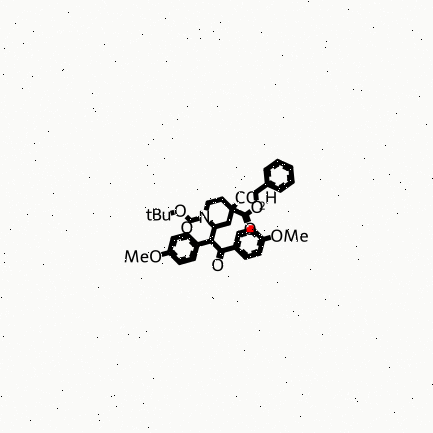 COc1ccc(C(=O)C(c2ccc(OC)cc2)C2CC(C(=O)O)(C(=O)OCc3ccccc3)CCN2C(=O)OC(C)(C)C)cc1